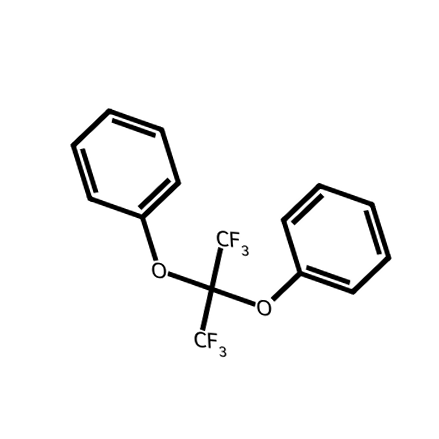 FC(F)(F)C(Oc1ccccc1)(Oc1ccccc1)C(F)(F)F